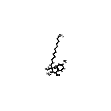 CCCCCCCCCCCC[N+](C)(C)[C@H](C)[C@H](O)c1ccccc1.[Br-]